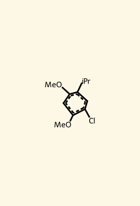 COc1cc(OC)c(C(C)C)cc1Cl